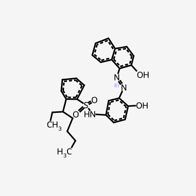 CCCCC(CC)c1ccccc1S(=O)(=O)Nc1ccc(O)c(/N=N/c2c(O)ccc3ccccc23)c1